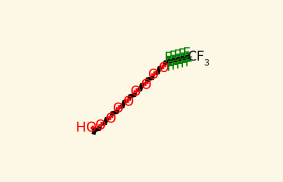 CC(O)COCCOCCOCCOCCOCCOCCOCCOCC(F)(F)C(F)(F)C(F)(F)C(F)(F)C(F)(F)C(F)(F)F